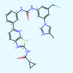 Cc1cn(-c2cc(CF)cc(NC(=O)Nc3cccc(-c4ccc5nc(NC(=O)C6CC6)sc5n4)c3)c2)cn1